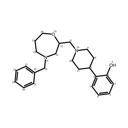 Oc1ccccc1C1CCN(CC2CN(Cc3ccccc3)CCCO2)CC1